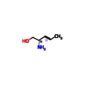 C/C=C/[C@H](N)CO